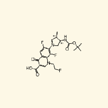 C[C@@H]1CN(c2c(F)cc3c(=O)c(C(=O)O)cn(CCF)c3c2F)C[C@@H]1NC(=O)OC(C)(C)C